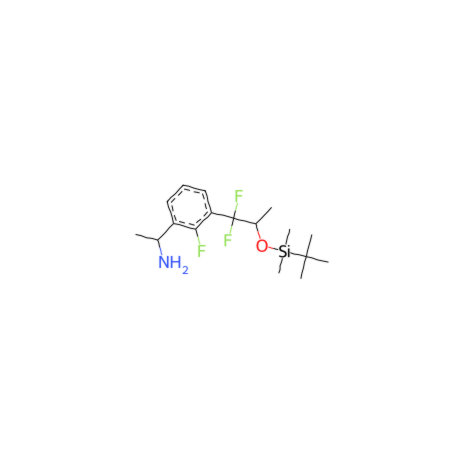 CC(N)c1cccc(C(F)(F)C(C)O[Si](C)(C)C(C)(C)C)c1F